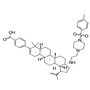 C=C(C)[C@@H]1CC[C@]2(NCCN3CCN(S(=O)(=O)c4ccc(C)cc4)CC3)CC[C@]3(C)[C@H](CC[C@@H]4[C@@]5(C)CC=C(c6ccc(C(=O)O)cc6)C(C)(C)[C@@H]5CC[C@]43C)[C@@H]12